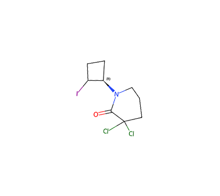 O=C1N([C@@H]2CCC2I)CCCC1(Cl)Cl